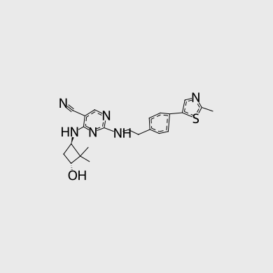 Cc1ncc(-c2ccc(CCNc3ncc(C#N)c(N[C@@H]4C[C@@H](O)C4(C)C)n3)cc2)s1